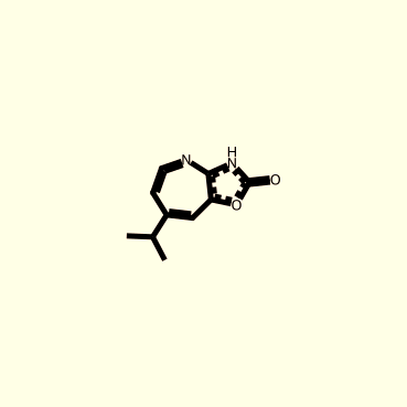 CC(C)C1=Cc2oc(=O)[nH]c2N=C=C1